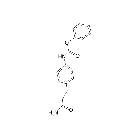 NC(=O)CCc1ccc(NC(=O)Oc2ccccc2)cc1